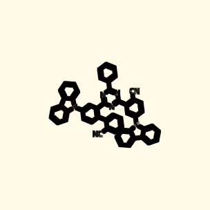 N#Cc1ccc(-n2c3ccccc3c3ccccc32)cc1-c1nc(-c2ccccc2)nc(-c2cc(-n3c4ccccc4c4ccccc43)ccc2-c2ccccc2C#N)n1